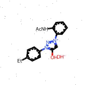 CCc1ccc(-n2n[n+](-c3ccccc3NC(C)=O)cc2O)cc1.[OH-]